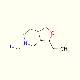 CCC1OCC2CCN(CI)CC21